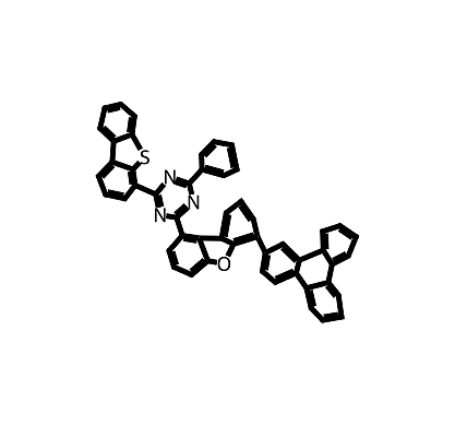 c1ccc(-c2nc(-c3cccc4c3sc3ccccc34)nc(-c3cccc4oc5c(-c6ccc7c8ccccc8c8ccccc8c7c6)cccc5c34)n2)cc1